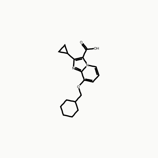 O=C(O)c1c(C2CC2)nc2c(OCC3CCCCC3)cccn12